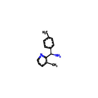 Cc1ccc(C(N)c2ncccc2C)cc1